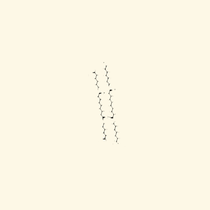 CC(C)CCCCCOC(=O)CCCCCCCC(=O)OCCCCCC(C)C.CCCCCCCCOC(=O)CCCCCCCCC(=O)OCCCCCCCC